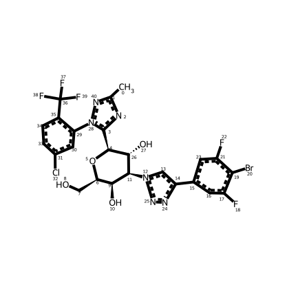 Cc1nc([C@@H]2O[C@H](CO)[C@H](O)[C@H](n3cc(-c4cc(F)c(Br)c(F)c4)nn3)[C@H]2O)n(-c2cc(Cl)ccc2C(F)(F)F)n1